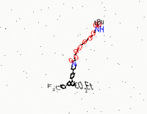 CCOC(=O)c1cc(-c2ccc(C3CCN(C(=O)CCOCCOCCOCCOCCOCCOCCNC(=O)OC(C)(C)C)CC3)cc2)c2ccc(-c3ccc(C(F)(F)F)cc3)cc2c1